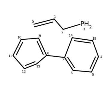 C=CCP.c1ccc(-c2ccccc2)cc1